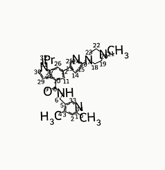 Cc1cc(C)c(CNC(=O)c2cc(-c3ccc(N4CCN(C)CC4)nc3)cc3c2ccn3C(C)C)cn1